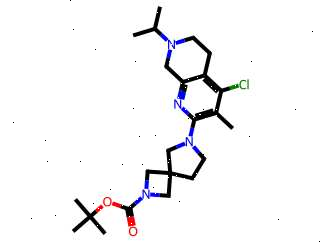 Cc1c(N2CCC3(CN(C(=O)OC(C)(C)C)C3)C2)nc2c(c1Cl)CCN(C(C)C)C2